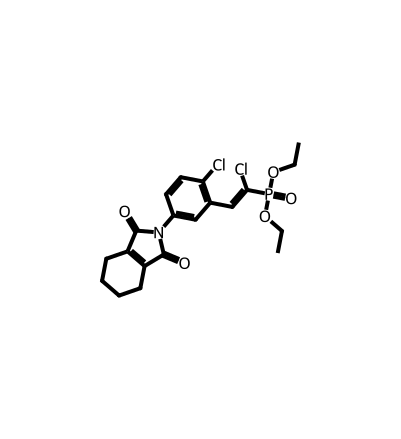 CCOP(=O)(OCC)/C(Cl)=C/c1cc(N2C(=O)C3=C(CCCC3)C2=O)ccc1Cl